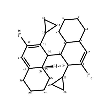 FC1=CC2CCCCC2C(C2C(C3CC3)=C(F)C=C3CCCC[C@H]32)C1C1CC1